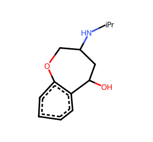 CC(C)NC1COc2ccccc2C(O)C1